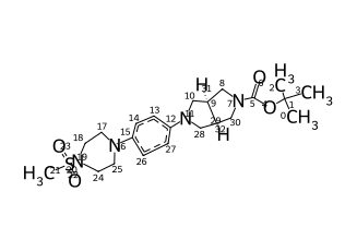 CC(C)(C)OC(=O)N1C[C@@H]2CN(c3ccc(N4CCN(S(C)(=O)=O)CC4)cc3)C[C@@H]2C1